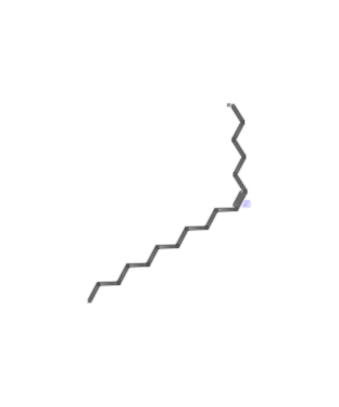 [CH2]CCCC/C=C\CCCCCCCCCC